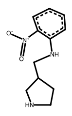 O=[N+]([O-])c1ccccc1NCC1CCNC1